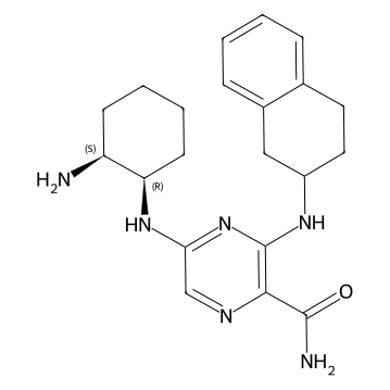 NC(=O)c1ncc(N[C@@H]2CCCC[C@@H]2N)nc1NC1CCc2ccccc2C1